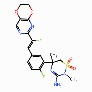 CN1C(N)=NC(C)(c2cc(C=C(F)c3ncc4c(n3)OCCO4)ccc2F)CS1(=O)=O